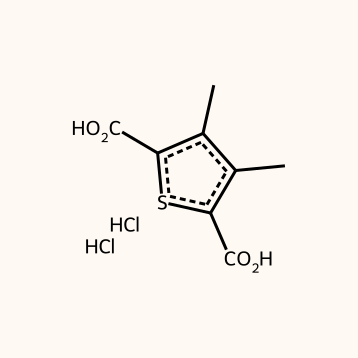 Cc1c(C(=O)O)sc(C(=O)O)c1C.Cl.Cl